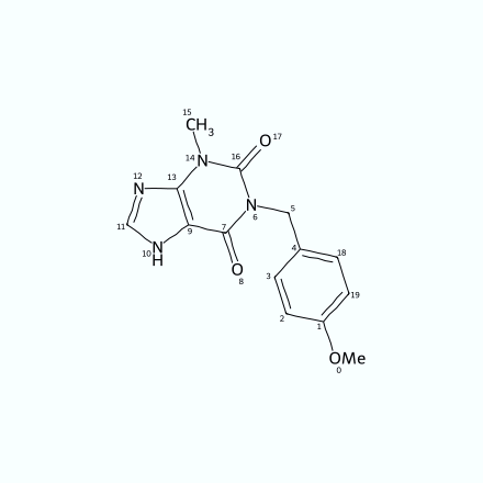 COc1ccc(Cn2c(=O)c3[nH]cnc3n(C)c2=O)cc1